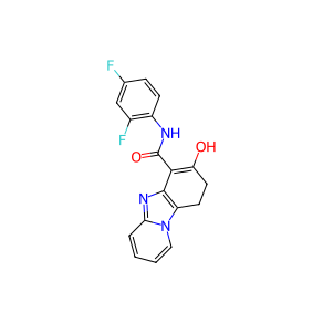 O=C(Nc1ccc(F)cc1F)C1=C(O)CCc2c1nc1ccccn21